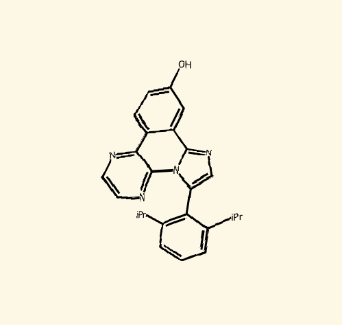 CC(C)c1cccc(C(C)C)c1-c1cnc2c3cc(O)ccc3c3nccnc3n12